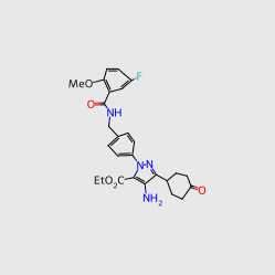 CCOC(=O)c1c(N)c(C2CCC(=O)CC2)nn1-c1ccc(CNC(=O)c2cc(F)ccc2OC)cc1